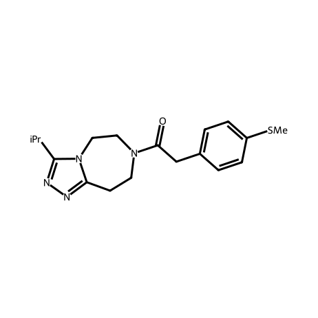 CSc1ccc(CC(=O)N2CCc3nnc(C(C)C)n3CC2)cc1